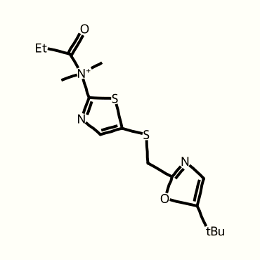 CCC(=O)[N+](C)(C)c1ncc(SCc2ncc(C(C)(C)C)o2)s1